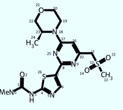 CNC(=O)Nc1ncc(-c2nc(CS(C)(=O)=O)cc(N3CCOC[C@@H]3C)n2)s1